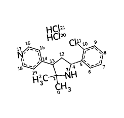 CC1(C)NC(c2ccccc2Cl)CC1c1ccncc1.Cl.Cl